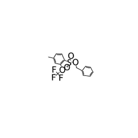 Cc1ccc(S(=O)(=O)OCc2ccccc2)c(OC(F)(F)F)c1